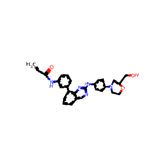 C=CC(=O)Nc1cccc(-c2cccc3cnc(Nc4ccc(N5CCOC(CO)C5)cc4)nc23)c1